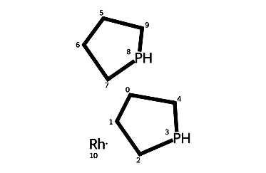 C1CCPC1.C1CCPC1.[Rh]